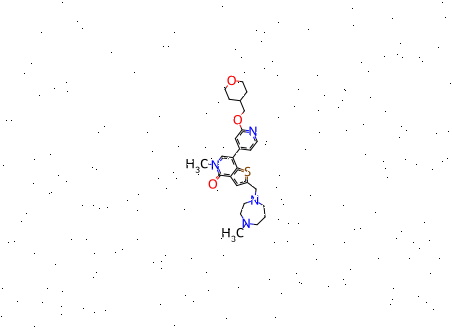 CN1CCCN(Cc2cc3c(=O)n(C)cc(-c4ccnc(OCC5CCOCC5)c4)c3s2)CC1